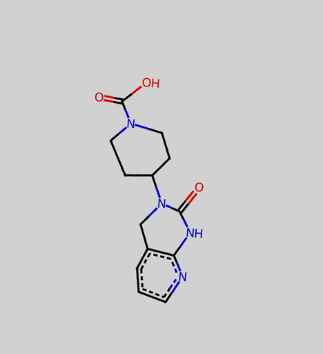 O=C(O)N1CCC(N2Cc3cccnc3NC2=O)CC1